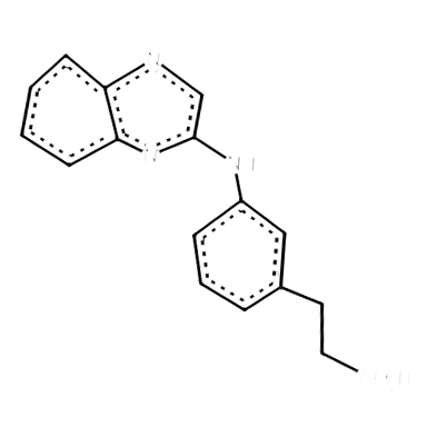 O=C(O)CCc1cccc(Nc2cnc3ccccc3n2)c1